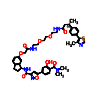 Cc1ncsc1-c1ccc([C@@H](C)CC(=O)NCCOCCOCCNC(=O)COc2ccc3c(c2)C(NC(=O)c2cc(-c4ccc(C(=O)N(C)C)c(O)c4)on2)CC3)cc1